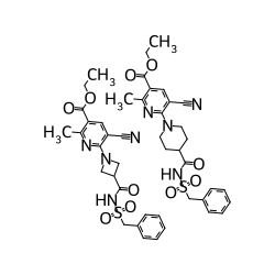 CCOC(=O)c1cc(C#N)c(N2CC(C(=O)NS(=O)(=O)Cc3ccccc3)C2)nc1C.CCOC(=O)c1cc(C#N)c(N2CCC(C(=O)NS(=O)(=O)Cc3ccccc3)CC2)nc1C